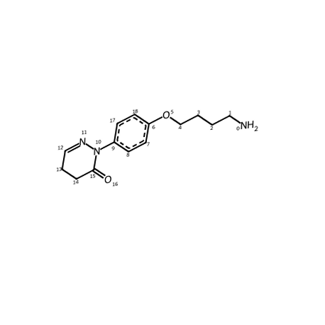 NCCCCOc1ccc(N2N=CCCC2=O)cc1